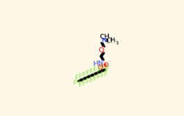 CN(C)CCOCCCNS(=O)(=O)C(F)(F)C(F)(F)C(F)(F)C(F)(F)C(F)(F)C(F)(F)C(F)(F)C(F)(F)F